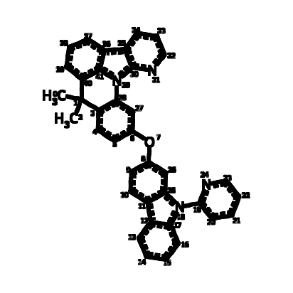 CC1(C)c2ccc(Oc3ccc4c5ccccc5n(-c5ccccn5)c4c3)cc2-n2c3ncccc3c3cccc1c32